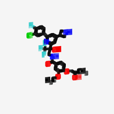 COc1cc(C(=O)NCC(O)(c2cc(C3CNC3)cc(-c3ccc(F)c(Cl)c3)n2)C(F)(F)F)ccc1OC[C@@H](C)O